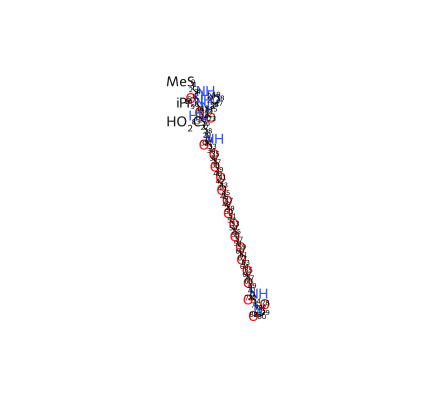 CSCC[C@H](N)C(=O)N[C@@H](CC(C)C)C(=O)N[C@@H](Cc1ccccc1)C(=O)N[C@@H](CCCCNC(=O)CCOCCOCCOCCOCCOCCOCCOCCOCCOCCOCCOCCOCCNC(=O)CCN1C(=O)C=CC1=O)C(=O)O